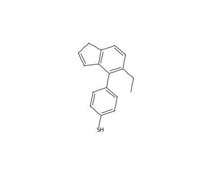 CCc1ccc2c(c1-c1ccc(S)cc1)C=CC2